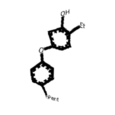 CCCCCc1ccc(Oc2ccc(CC)c(O)c2)cc1